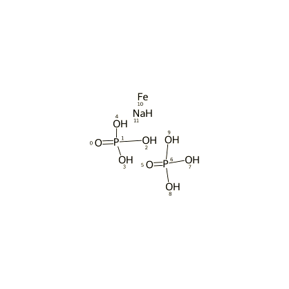 O=P(O)(O)O.O=P(O)(O)O.[Fe].[NaH]